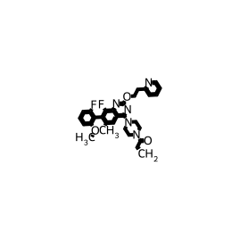 C=CC(=O)N1CCN(c2nc(OCCc3ccccn3)nc3c(F)c(-c4c(F)cccc4OC)c(C)cc23)CC1